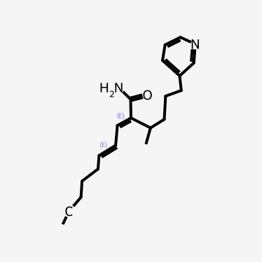 CCCCC/C=C/C=C(/C(N)=O)C(C)CCCc1cccnc1